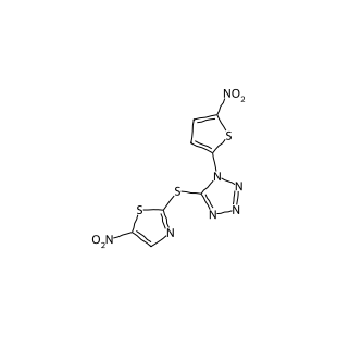 O=[N+]([O-])c1ccc(-n2nnnc2Sc2ncc([N+](=O)[O-])s2)s1